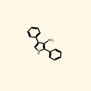 Nc1c(-c2ccccc2)c[nH]c1-c1ccccc1